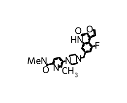 CNC(=O)c1ccc(N2CCN(Cc3cc(F)c4c(c3)[nH]c(=O)c3occc34)CC2)c(C)n1